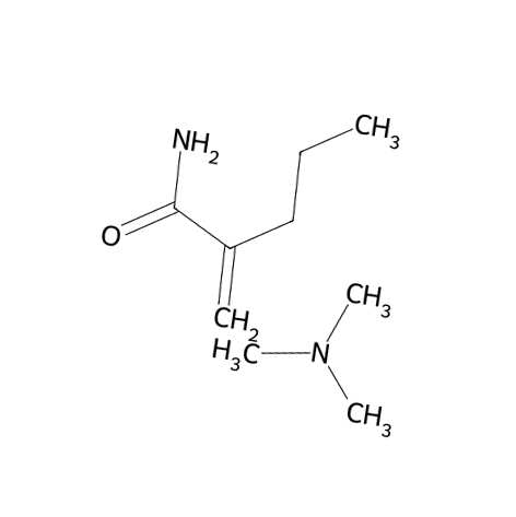 C=C(CCC)C(N)=O.CN(C)C